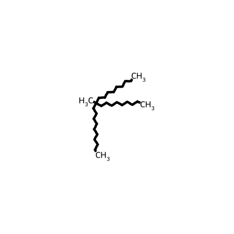 CCCCCCCCCCC(C)(CCCCCCCCC)CCCCCCCCC